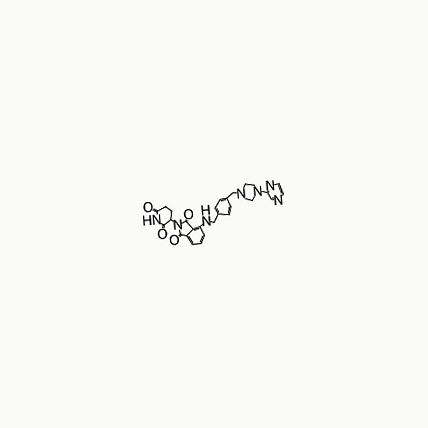 O=C1CCC(N2C(=O)c3cccc(NCc4ccc(CN5CCN(c6cnccn6)CC5)cc4)c3C2=O)C(=O)N1